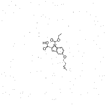 CCOC(=O)n1c(C(=O)O)cc2cc(OCCSC)ccc21